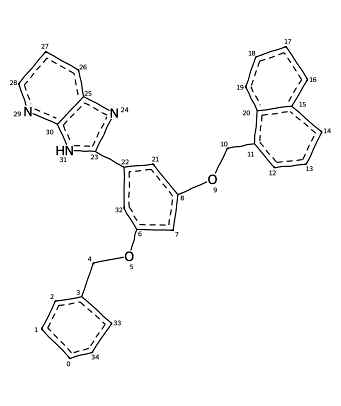 c1ccc(COc2cc(OCc3cccc4ccccc34)cc(-c3nc4cccnc4[nH]3)c2)cc1